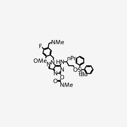 CCC[C@@H](CCO[Si](c1ccccc1)(c1ccccc1)C(C)(C)C)Nc1nc(OC(=O)NC)nc2cnn(Cc3cc(CNC)c(F)cc3OC)c12